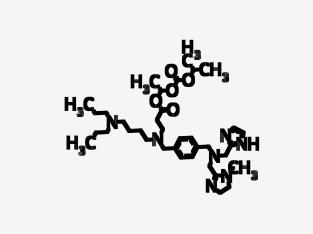 CCCN(CCC)CCCCN(CCC(=O)OC(C)OC(=O)OC(C)C)Cc1ccc(CN(CC2=NCCN2C)Cc2ncc[nH]2)cc1